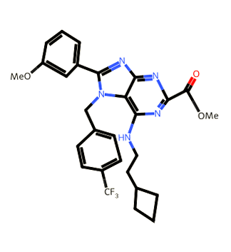 COC(=O)c1nc(NCCC2CCC2)c2c(n1)nc(-c1cccc(OC)c1)n2Cc1ccc(C(F)(F)F)cc1